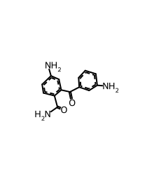 NC(=O)c1ccc(N)cc1C(=O)c1cccc(N)c1